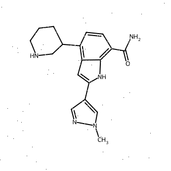 Cn1cc(-c2cc3c(C4CCCNC4)ccc(C(N)=O)c3[nH]2)cn1